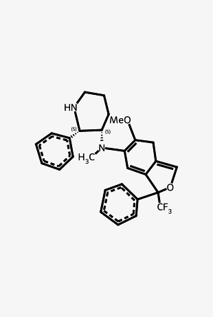 COC1=C(N(C)[C@H]2CCCN[C@H]2c2ccccc2)C=C2C(=COC2(c2ccccc2)C(F)(F)F)C1